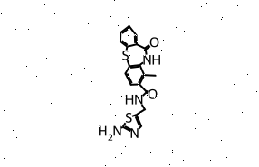 Cc1c(C(=O)NCc2cnc(N)s2)ccc2c1NC(=O)c1ccccc1S2